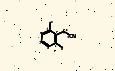 Cc1cccc(C)c1SC#N